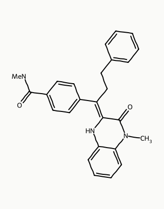 CNC(=O)c1ccc(/C(CCc2ccccc2)=C2\Nc3ccccc3N(C)C2=O)cc1